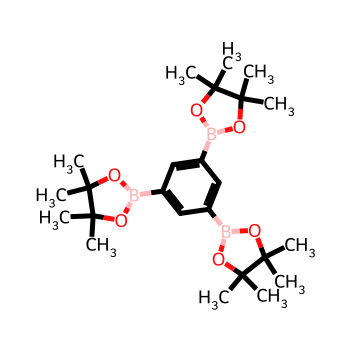 CC1(C)OB(c2cc(B3OC(C)(C)C(C)(C)O3)cc(B3OC(C)(C)C(C)(C)O3)c2)OC1(C)C